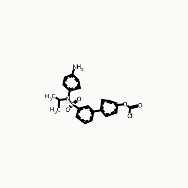 CC(C)N(c1ccc(N)cc1)S(=O)(=O)c1cccc(-c2ccc(OC(=O)Cl)cc2)c1